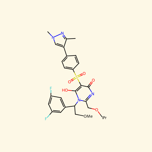 COCC(c1cc(F)cc(F)c1)n1c(COC(C)C)nc(=O)c(S(=O)(=O)c2ccc(-c3cn(C)nc3C)cc2)c1O